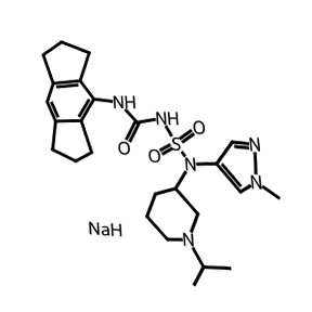 CC(C)N1CCCC(N(c2cnn(C)c2)S(=O)(=O)NC(=O)Nc2c3c(cc4c2CCC4)CCC3)C1.[NaH]